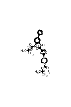 CC(C)(C)OC(=O)Nc1ccc(C2=CC=CC2)cc1NC(=O)c1csc(N2CCN(C(=O)OC(C)(C)C)CC2)n1